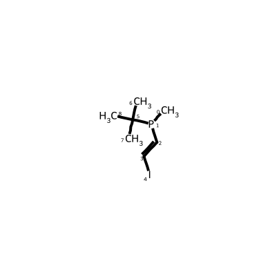 CP(/C=C/I)C(C)(C)C